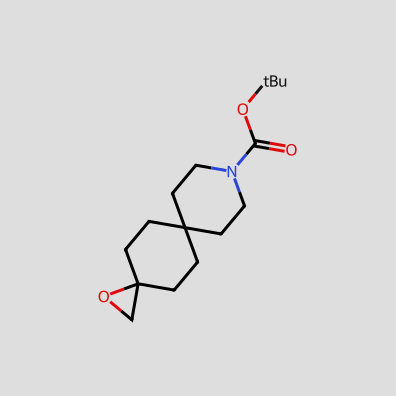 CC(C)(C)OC(=O)N1CCC2(CC1)CCC1(CC2)CO1